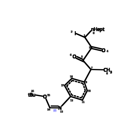 CCCCCCCC(I)C(=O)C(=O)C(C)c1ccc(/N=C\OC(C)(C)C)cc1